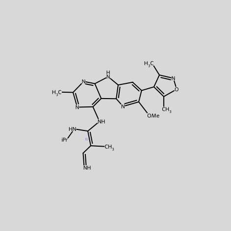 COc1nc2c(cc1-c1c(C)noc1C)[nH]c1nc(C)nc(N/C(NC(C)C)=C(\C)C=N)c12